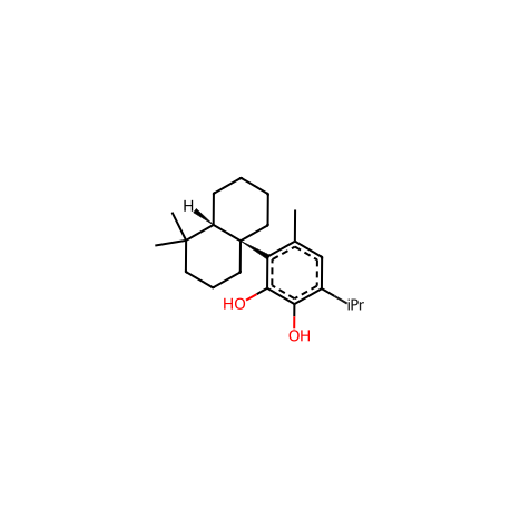 Cc1cc(C(C)C)c(O)c(O)c1[C@]12CCCC[C@H]1C(C)(C)CCC2